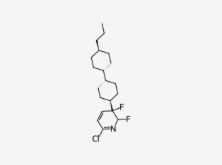 CCC[C@H]1CC[C@H]([C@H]2CC[C@H](C3(F)C=CC(Cl)=NC3F)CC2)CC1